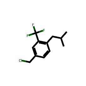 CC(C)Cc1ccc(CCl)cc1C(F)(F)F